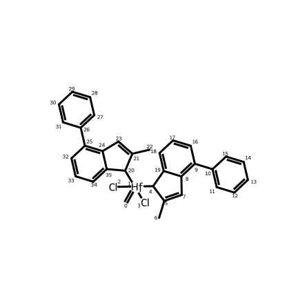 [CH2]=[Hf]([Cl])([Cl])([CH]1C(C)=Cc2c(-c3ccccc3)cccc21)[CH]1C(C)=Cc2c(-c3ccccc3)cccc21